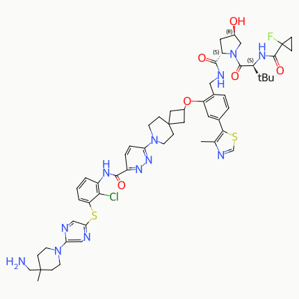 Cc1ncsc1-c1ccc(CNC(=O)[C@@H]2C[C@@H](O)CN2C(=O)[C@@H](NC(=O)C2(F)CC2)C(C)(C)C)c(OC2CC3(CCN(c4ccc(C(=O)Nc5cccc(Sc6cnc(N7CCC(C)(CN)CC7)cn6)c5Cl)nn4)CC3)C2)c1